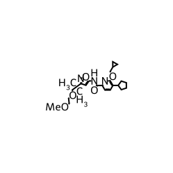 COCCOCC(C)(C)c1cc(NC(=O)c2ccc(C3CCCC3)c(OCC3CC3)n2)on1